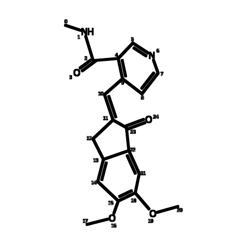 CNC(=O)c1cnccc1C=C1Cc2cc(OC)c(OC)cc2C1=O